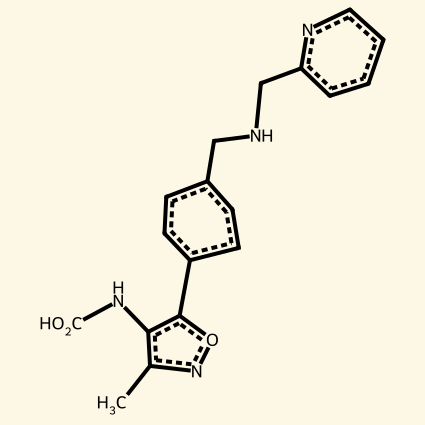 Cc1noc(-c2ccc(CNCc3ccccn3)cc2)c1NC(=O)O